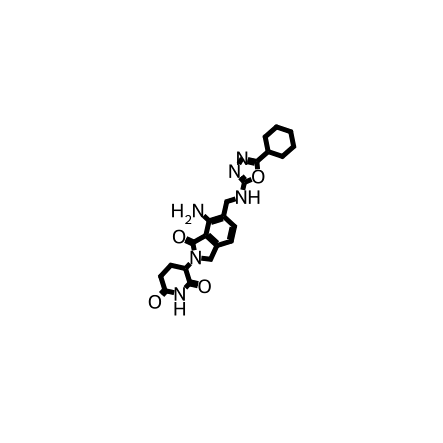 Nc1c(CNc2nnc(C3CCCCC3)o2)ccc2c1C(=O)N(C1CCC(=O)NC1=O)C2